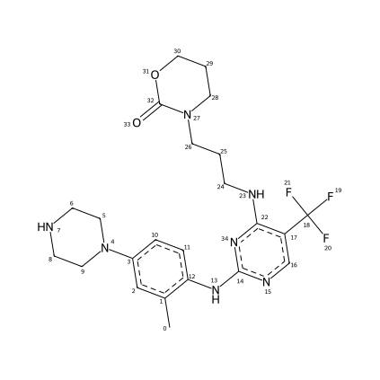 Cc1cc(N2CCNCC2)ccc1Nc1ncc(C(F)(F)F)c(NCCCN2CCCOC2=O)n1